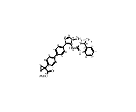 COC(=O)C1(c2ccc(-c3ccc(-c4ncn(C)c4NC(=O)OC(C)c4ccccc4)cc3)cc2)CC1